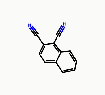 N#Cc1ccc2ccc[c]c2c1C#N